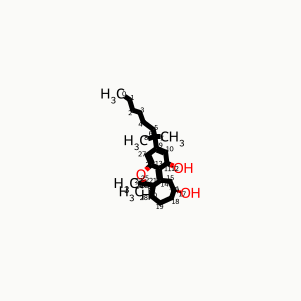 CCCCCCC(C)(C)C1=CC(O)C2=C3C[C@@H](O)CCC[C@@H]3C(C)(C)OC2=C1